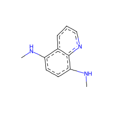 CNc1ccc(NC)c2ncccc12